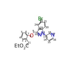 CCOC(=O)Cc1ccccc1OCc1nn(-c2cccnc2)c2ccc(Br)cc12